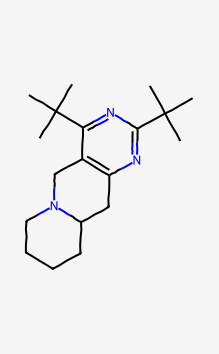 CC(C)(C)c1nc2c(c(C(C)(C)C)n1)CN1CCCCC1C2